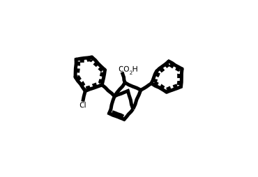 O=C(O)C1C(c2ccccc2)C2C=CC1(c1ccccc1Cl)C2